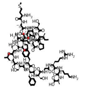 CC[C@H](C)[C@H](NC(=O)[C@H](CO)NC(=O)[C@@H](NC(=O)[C@H](C)NC(=O)[C@@H](N)CCSC)[C@@H](C)O)C(=O)N[C@@H](CCCNC(=N)N)C(=O)N1CCC[C@H]1C(=O)N[C@@H](C)C(=O)N[C@H](C(=O)N1CCC[C@H]1C(=O)N[C@@H](CO)C(=O)N[C@@H](CC(C)C)C(=O)N[C@@H](CO)C(=O)N[C@@H](Cc1ccccc1)C(=O)N[C@@H](Cc1ccccc1)C(=O)N[C@@H](CO)C(=O)NCC(=O)N[C@@H](CCCNC(=N)N)C(=O)N[C@@H](CCCCN)C(=O)N[C@@H](C)C(=O)O)[C@@H](C)O